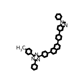 Cc1ccc(-c2nc(-c3ccccc3)nc(-c3ccc(-c4ccc5ccc(-c6ccc(-c7ccc8c(c7)ncn8-c7ccccc7)cc6)cc5c4)cc3)n2)cc1